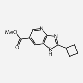 COC(=O)c1cnc2c(c1)BC(C1CCC1)=N2